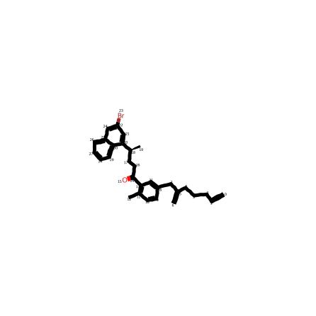 C=CCCCC(=C)Cc1ccc(C)c(C(=O)CC[C@H](C)c2cc(Br)cc3ccccc23)c1